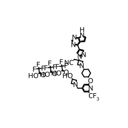 N#CCC1(n2cc(-c3ncnc4[nH]ccc34)cn2)CN([C@H]2CC[C@@H](Oc3cc(CN4CC(O)C4)cc(C(F)(F)F)n3)CC2)C1.O=C(O)C(F)(F)F.O=C(O)C(F)(F)F.O=C(O)C(F)(F)F